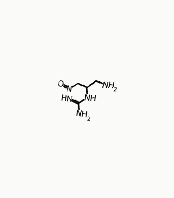 N=C(N)NC(CN)CN=O